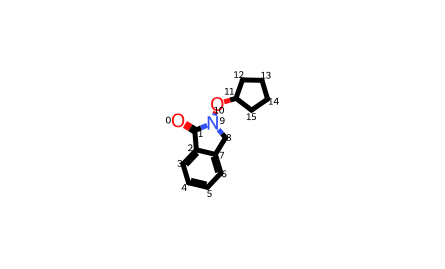 O=C1c2ccccc2CN1OC1CCCC1